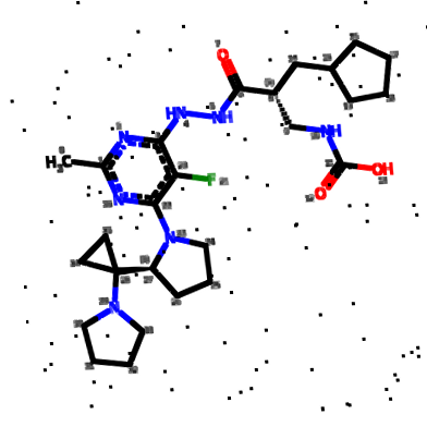 Cc1nc(NNC(=O)[C@@H](CNC(=O)O)CC2CCCC2)c(F)c(N2CCC[C@H]2C2(N3CCCC3)CC2)n1